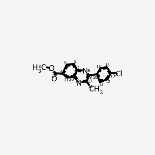 COC(=O)c1ccc2nc(-c3ccc(Cl)cc3)c(C)nc2c1